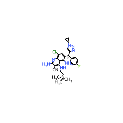 C[Si](C)(C)CCNc1c(C#N)c(N)nc2c(Cl)cc([C@H](c3ccc(F)cc3)c3cn(C4CC4)nn3)c(N)c12